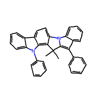 CC1(C)c2c(ccc3c4ccccc4n(-c4ccccc4)c23)-n2c1c(-c1ccccc1)c1ccccc12